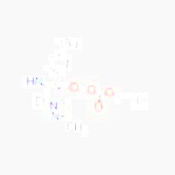 CCn1nc(C)cc1/C(OCOC(=O)OCCC(C)C)=C(\C=N)c1ccc(C(C)(C)C)cc1